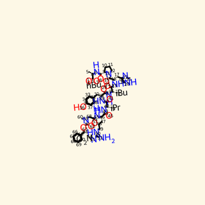 CCCCOC(=O)[C@@H](C)NC(=O)[C@@H]1CCCN1C(=O)[C@H](Cc1c[nH]cn1)NC(=O)[C@@H](NC(=O)[C@H](Cc1ccc(O)cc1)NC(=O)[C@@H](NC(=O)[C@H](CCCN/C(N)=N\[N+](=O)[O-])NC(=O)CN(C)C(=O)OCc1ccccc1)C(C)C)C(C)CC